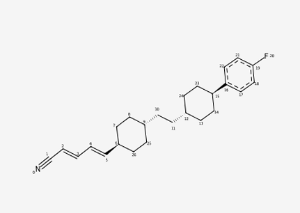 N#CC=CC=C[C@H]1CC[C@H](CC[C@H]2CC[C@H](c3ccc(F)cc3)CC2)CC1